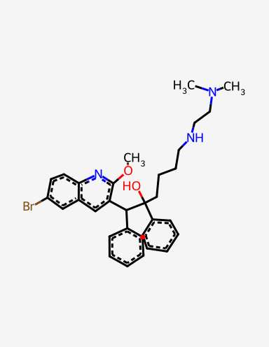 COc1nc2ccc(Br)cc2cc1C(c1ccccc1)C(O)(CCCCNCCN(C)C)c1ccccc1